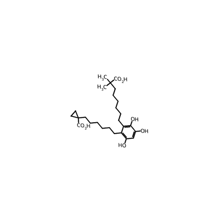 CC(C)(CCCCCCc1c(O)c(O)cc(O)c1CCCCCCC1(C(=O)O)CC1)C(=O)O